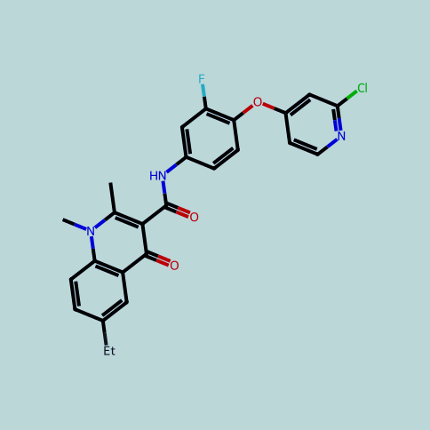 CCc1ccc2c(c1)c(=O)c(C(=O)Nc1ccc(Oc3ccnc(Cl)c3)c(F)c1)c(C)n2C